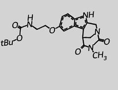 CN1C(=O)C2CN(Cc3[nH]c4ccc(OCCNC(=O)OC(C)(C)C)cc4c32)C1=O